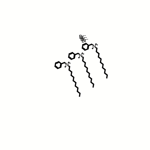 CCCCCCCCCCCC[N+](C)(C)Cc1ccccc1.CCCCCCCCCCCC[N+](C)(C)Cc1ccccc1.CCCCCCCCCCCC[N+](C)(C)Cc1ccccc1.[Br-].[Br-].[Br-]